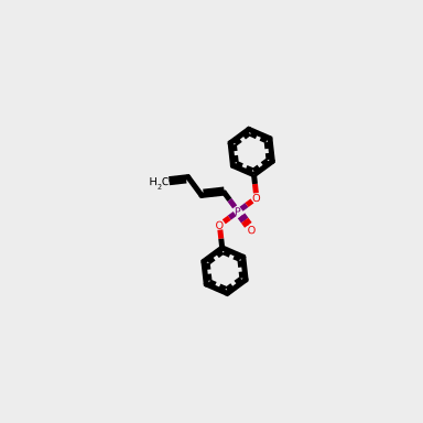 C=CC=CP(=O)(Oc1ccccc1)Oc1ccccc1